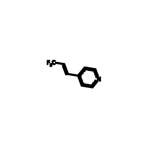 FC(F)(F)C=Cc1ccncc1